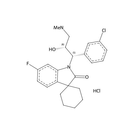 CNC[C@@H](O)[C@H](c1cccc(Cl)c1)N1C(=O)C2(CCCCC2)c2ccc(F)cc21.Cl